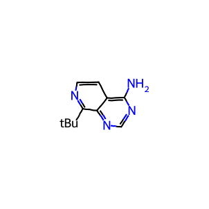 CC(C)(C)c1nccc2c(N)ncnc12